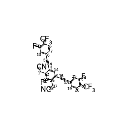 N#CCc1c(C#Cc2ccc(C(F)(F)F)c(F)c2)cc(C#Cc2ccc(C(F)(F)F)c(F)c2)c(CC#N)c1F